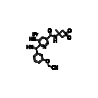 CC(C)Nc1cc(C(=O)NC2(C)CS(=O)(=O)C2)cnc1C(=N)c1cccc(OCC#N)c1